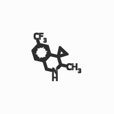 CC1NCc2ccc(C(F)(F)F)cc2C12CC2